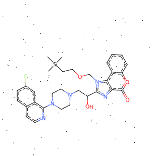 C[Si](C)(C)CCOCn1c(C(O)CN2CCN(c3nccc4ccc(F)cc34)CC2)nc2c(=O)oc3ccccc3c21